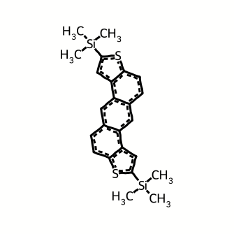 C[Si](C)(C)c1cc2c(ccc3cc4c(ccc5sc([Si](C)(C)C)cc54)cc32)s1